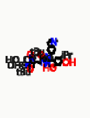 CC(C)c1cc(-c2nn(CCC(C)C(C(=O)O)(N(C=O)OC(C)(C)C)N(C=O)OC(C)(C)C)c(=O)n2-c2ccc3c(ccn3C)c2)c(O)cc1O